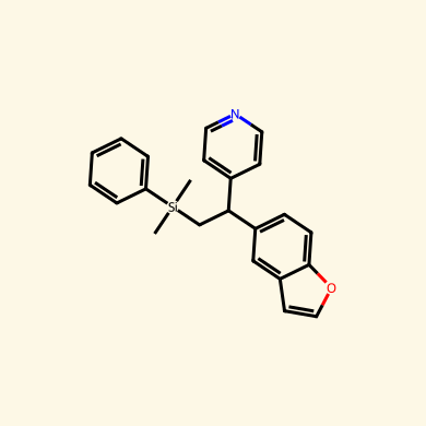 C[Si](C)(CC(c1ccncc1)c1ccc2occc2c1)c1ccccc1